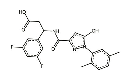 Cc1ccc(C)c(-n2nc(C(=O)NC(CC(=O)O)c3cc(F)cc(F)c3)cc2O)c1